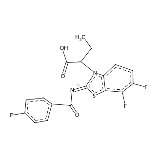 CCC(C(=O)O)n1/c(=N/C(=O)c2ccc(F)cc2)sc2c(F)c(F)ccc21